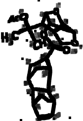 CC(=O)OC(C)(C)C1C2COC3C2OC1C3OC(=O)C1CC2CC1C1C3C=CC(C3)C21